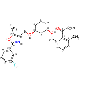 COC(=O)c1c(C)cccc1CO[C@@H]1CCC[C@H](OCc2nc(-c3cccc(F)c3)oc2C)C1